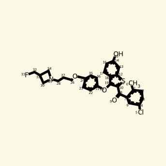 Cc1ccc(Cl)cc1C(=O)c1sc2cc(O)ccc2c1Oc1ccc(OCCCN2CC(CF)C2)cc1